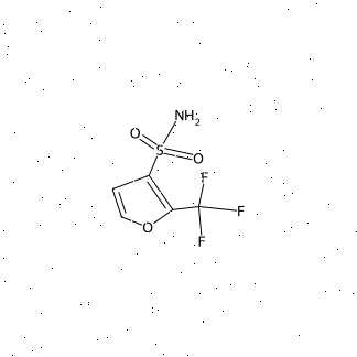 NS(=O)(=O)c1ccoc1C(F)(F)F